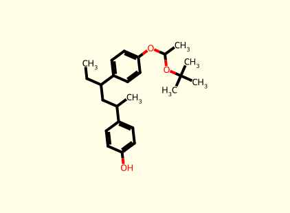 CCC(CC(C)c1ccc(O)cc1)c1ccc(OC(C)OC(C)(C)C)cc1